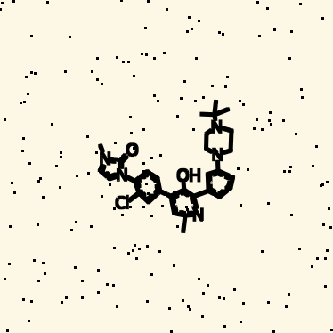 Cc1cc(-c2ccc(-n3ccn(C)c3=O)c(Cl)c2)c(O)c(-c2cccc(N3CCN(C(C)(C)C)CC3)c2)n1